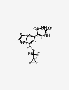 O=c1[nH]cc(-c2cc(OCC(F)(F)C3CC3)c3nccn3n2)c(=O)[nH]1